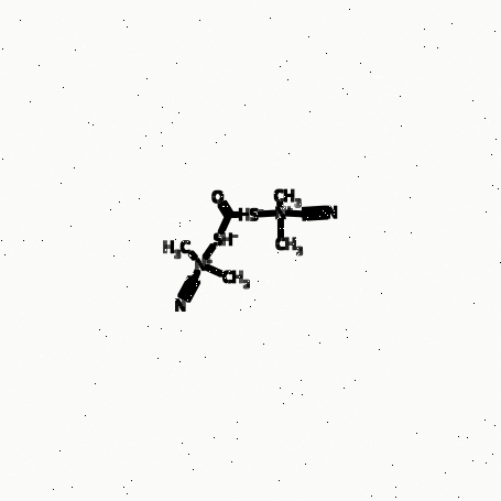 C[N+](C)(C#N)[SH-]C(=O)[SH-][N+](C)(C)C#N